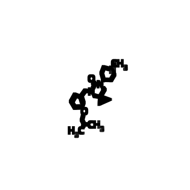 CC(C)COc1cccc(CN2CC3(CC3)CN(C3CCN(C)CC3)C2=O)c1